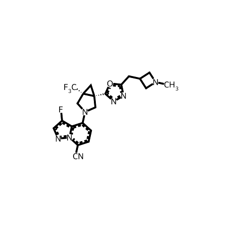 CN1CC(Cc2nnc([C@]34CN(c5ccc(C#N)n6ncc(F)c56)C[C@@]3(C(F)(F)F)C4)o2)C1